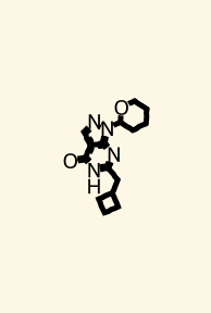 O=c1[nH]c(CC2CCC2)nc2c1cnn2C1CCCCO1